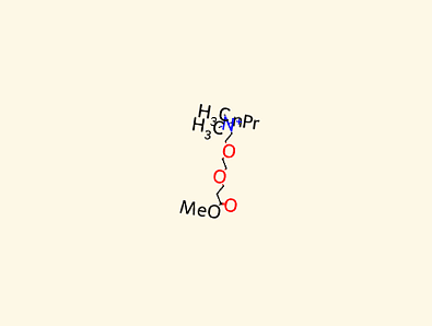 CCC[N+](C)(C)CCOCCOCCC(=O)OC